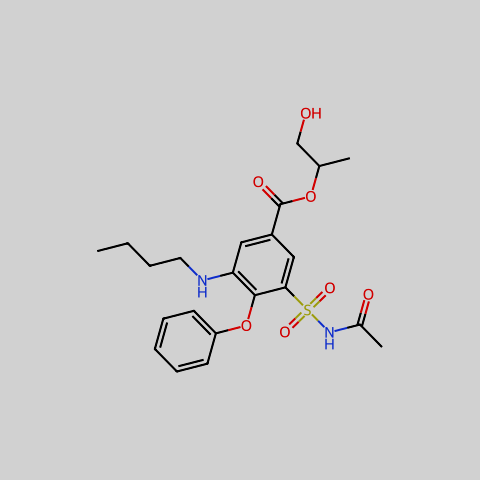 CCCCNc1cc(C(=O)OC(C)CO)cc(S(=O)(=O)NC(C)=O)c1Oc1ccccc1